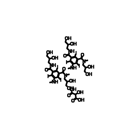 CNc1c(I)c(C(=O)NCC(O)CO)c(I)c(C(=O)N(C)CC(O)CO)c1I.CNc1c(I)c(C(=O)NCC(O)CO)c(I)c(C(=O)N(C)CC(O)CO)c1I.O=C(O)C(O)C(=O)O